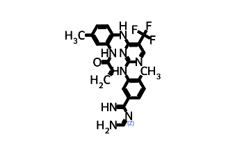 C=CC(=O)Nc1cc(C)ccc1Nc1nc(Nc2cc(C(=N)/N=C\N)ccc2C)ncc1C(F)(F)F